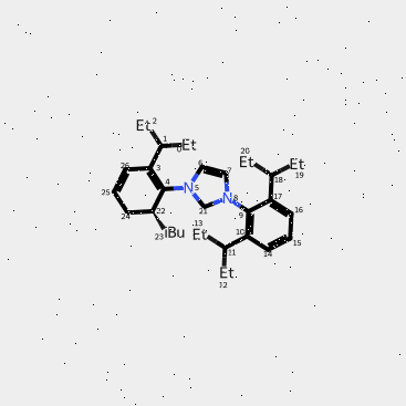 CCC(CC)C1=C(N2C=CN(c3c(C(CC)CC)cccc3C(CC)CC)C2)[C@@H](C(C)CC)CC=C1